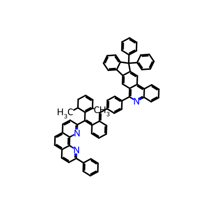 CC1=C(/C(c2ccc3ccc4ccc(-c5ccccc5)nc4c3n2)=c2/cccc/c2=C\c2ccc(-c3nc4ccccc4c4cc5c(cc34)-c3ccccc3C5(c3ccccc3)c3ccccc3)cc2)C(C)CC=C1